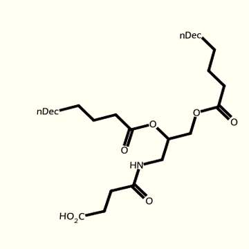 CCCCCCCCCCCCCC(=O)OCC(CNC(=O)CCC(=O)O)OC(=O)CCCCCCCCCCCCC